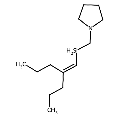 CCCC(=C[SiH2]CN1CCCC1)CCC